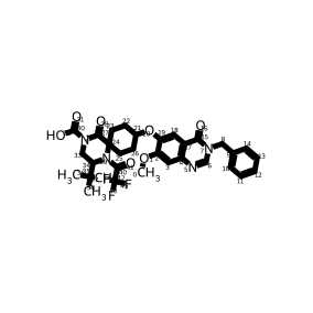 COc1cc2ncn(Cc3ccccc3)c(=O)c2cc1OC1CCC2(CC1)C(=O)N(C(=O)O)CC(C(C)(C)C)N2C(=O)C(F)(F)F